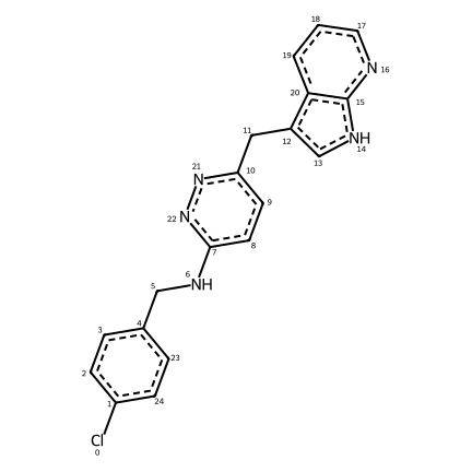 Clc1ccc(CNc2ccc(Cc3c[nH]c4ncccc34)nn2)cc1